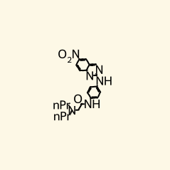 CCCN(CCC)CC(=O)Nc1ccc(Nc2ncc3cc([N+](=O)[O-])ccc3n2)cc1